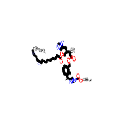 CCCCC/C=C\C/C=C\CCCCCCCC(=O)OCC(Cc1cncn1C)C(CC)C(=O)OCc1cccc([C@H](C)c2cn(C(=O)OC(C)(C)C)cn2)c1C